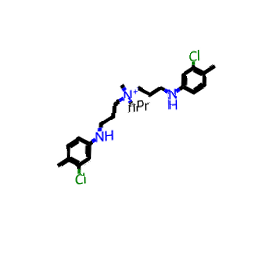 CCC[N+](C)(CCCNc1ccc(C)c(Cl)c1)CCCNc1ccc(C)c(Cl)c1